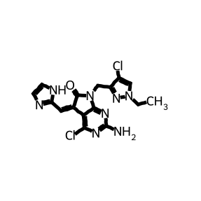 CCn1cc(Cl)c(CN2C(=O)/C(=C\c3ncc[nH]3)c3c(Cl)nc(N)nc32)n1